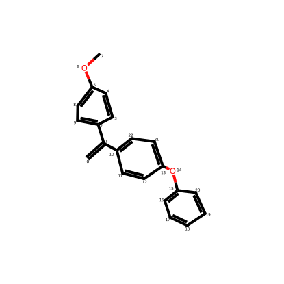 C=C(c1ccc(OC)cc1)c1ccc(Oc2ccccc2)cc1